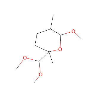 COC1OC(C)(C(OC)OC)CCC1C